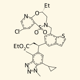 CCOC(=O)C[C@@H](c1cc(CN2C[C@@H](CC)Oc3ncc(Cl)cc3S2(=O)=O)c2sccc2c1)c1cc(C2CC2)c2c(nnn2C)c1C